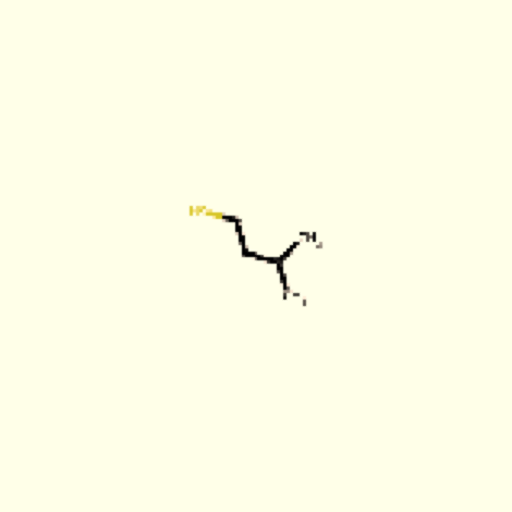 CC(C)C[CH]S